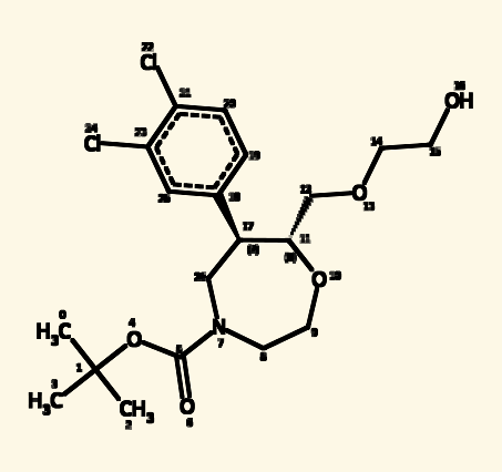 CC(C)(C)OC(=O)N1CCO[C@@H](COCCO)[C@H](c2ccc(Cl)c(Cl)c2)C1